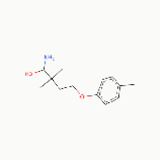 Cc1ccc(OCCC(C)(C)C(N)O)cc1